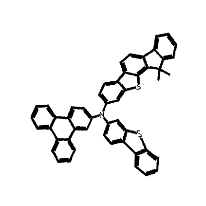 CC1(C)c2ccccc2-c2ccc3c(sc4cc(N(c5ccc6c(c5)sc5ccccc56)c5ccc6c7ccccc7c7ccccc7c6c5)ccc43)c21